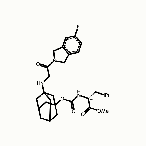 COC(=O)[C@@H](CC(C)C)NC(=O)OC12CC3CC(CC(NCC(=O)N4Cc5ccc(F)cc5C4)(C3)C1)C2